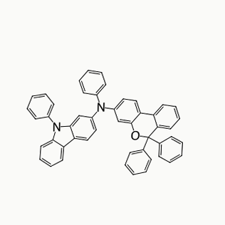 c1ccc(N(c2ccc3c(c2)OC(c2ccccc2)(c2ccccc2)c2ccccc2-3)c2ccc3c4ccccc4n(-c4ccccc4)c3c2)cc1